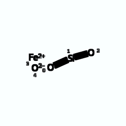 O=[Si]=O.[Fe+2].[O-2]